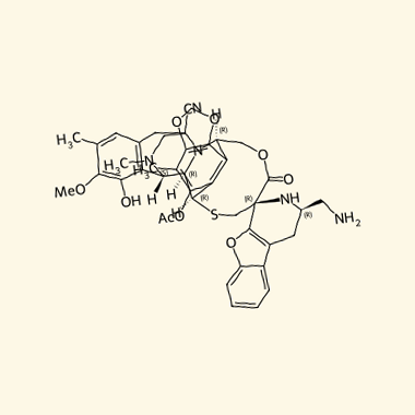 COc1c(C)cc2c(c1O)[C@H]1[C@@H]3[C@@H]4SC[C@]5(N[C@@H](CN)Cc6c5oc5ccccc65)C(=O)OC[C@@H](c5c6c(c(C)c(OC(C)=O)c54)OCO6)N3C(C#N)(C2)CN1C